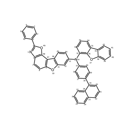 c1ccc(-c2nc3ccc4oc5cc(N(c6ccc(-c7cccc8ccccc78)cc6)c6cccc7c6oc6ccccc67)ccc5c4c3o2)cc1